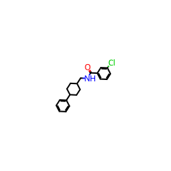 O=C(NCC1CCC(c2ccccc2)CC1)c1cccc(Cl)c1